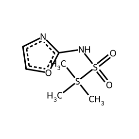 CS(C)(C)S(=O)(=O)Nc1ncco1